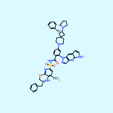 CC(C)c1ccccc1[C@@H]1CCCN1C1CC2(CCN(c3ccc(C(=O)NS(=O)(=O)c4cc([N+](=O)[O-])c5c(n4)OC[C@H](Cc4ccccc4)N5)c(-n4ncc5nc6[nH]ccc6cc54)c3)CC2)C1